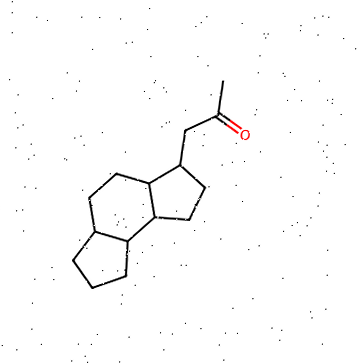 CC(=O)CC1CCC2C3CCCC3CCC12